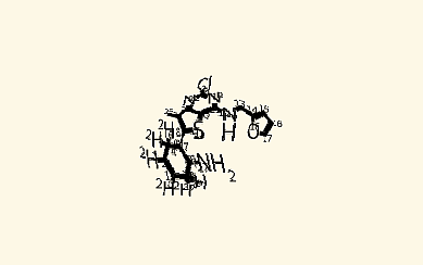 [2H]C1=C([2H])C([2H])([2H])[C@@H](c2sc3c(NCc4ccco4)nc(Cl)nc3c2C)[C@H](N)C1([2H])[2H]